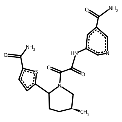 C[C@H]1CCC(c2ccc(C(N)=O)s2)N(C(=O)C(=O)Nc2cncc(C(N)=O)c2)C1